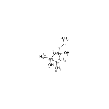 CCC[Si](C)(O)O[Si](C)(O)CC